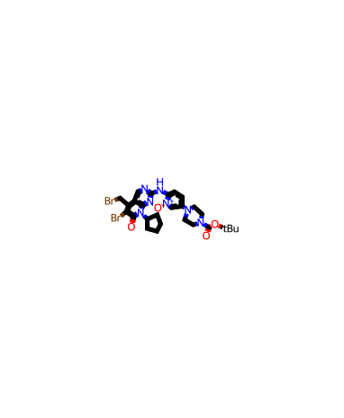 CC(C)(C)OC(=O)N1CCN(c2ccc(Nc3ncc4c(CBr)c(Br)c(=O)n(C5CCCC5)c4n3)[n+]([O-])c2)CC1